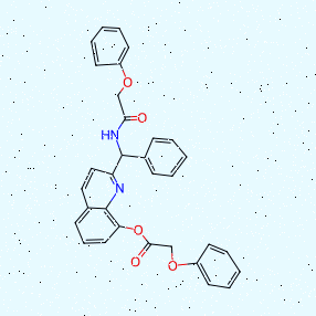 O=C(COc1ccccc1)NC(c1ccccc1)c1ccc2cccc(OC(=O)COc3ccccc3)c2n1